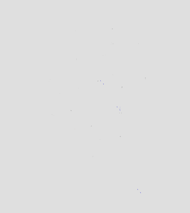 N#Cc1ccc(C(SCC(=O)O)c2cn(C(c3ccccc3)(c3ccccc3)c3ccccc3)cn2)cc1